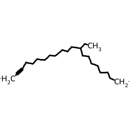 [CH2]C#CCCCCCCCCCC(CC)CCCCCCC[CH2]